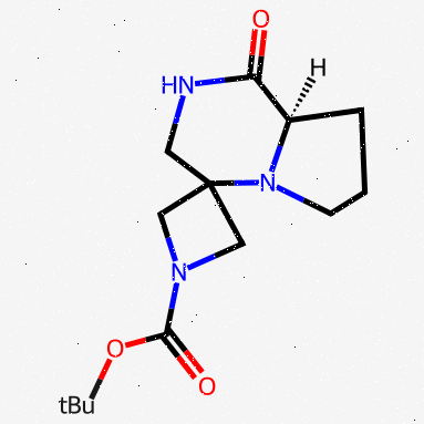 CC(C)(C)OC(=O)N1CC2(CNC(=O)[C@H]3CCCN32)C1